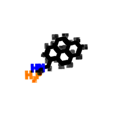 PNCc1ccc2c3c4c(ccc13)C=CCC4=CC2